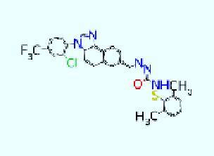 Cc1cccc(C)c1SNC(=O)/N=N\C=c1/ccc2c(c1)C=CC1C=2N=CN1c1ccc(C(F)(F)F)cc1Cl